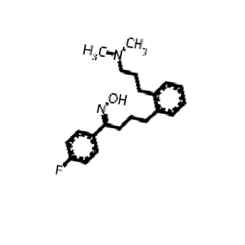 CN(C)CCCc1ccccc1CCCC(=NO)c1ccc(F)cc1